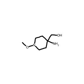 CON1CCC(N)(CO)CC1